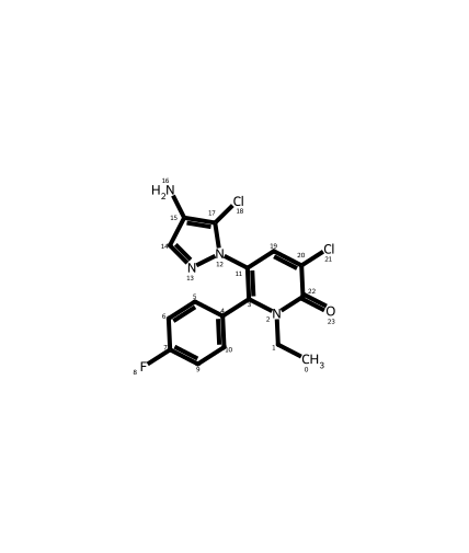 CCn1c(-c2ccc(F)cc2)c(-n2ncc(N)c2Cl)cc(Cl)c1=O